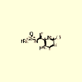 CC(=N[S+]([O-])C(C)(C)C)c1nc(Cl)ccc1F